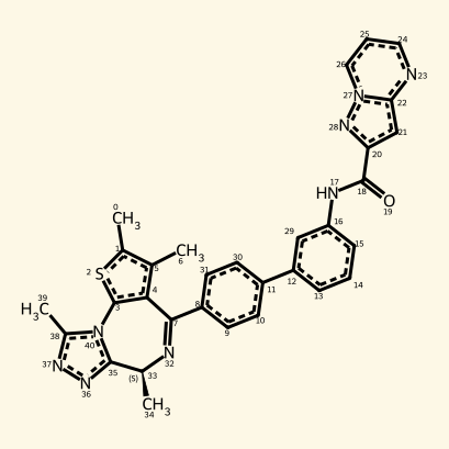 Cc1sc2c(c1C)C(c1ccc(-c3cccc(NC(=O)c4cc5ncccn5n4)c3)cc1)=N[C@@H](C)c1nnc(C)n1-2